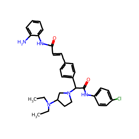 CCN(CC)C1CCN(C(C(=O)Nc2ccc(Cl)cc2)c2ccc(/C=C/C(=O)Nc3ccccc3N)cc2)C1